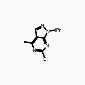 Cc1nc(Cl)nc2c1cnn2C(C)C